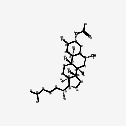 CC(=O)O[C@@H]1CC2[C@H](O)C[C@H]3[C@@H]4CC[C@H]([C@H](C)CCCC(C)C)[C@@]4(C)CC[C@@H]3[C@@]2(C)C[C@H]1F